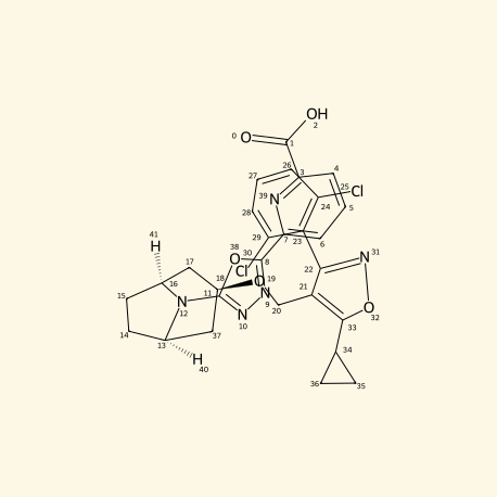 O=C(O)c1cccc(-c2nnc(N3[C@@H]4CC[C@H]3C[C@@H](OCc3c(-c5c(Cl)cccc5Cl)noc3C3CC3)C4)o2)n1